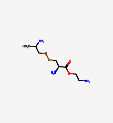 NCCOC(=O)[C@@H](N)CSSCC(N)C(=O)O